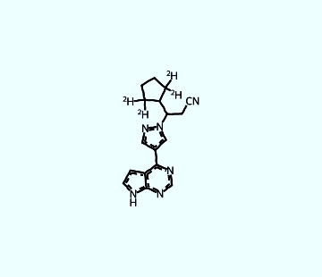 [2H]C1([2H])CCC([2H])([2H])C1C(CC#N)n1cc(-c2ncnc3[nH]ccc23)cn1